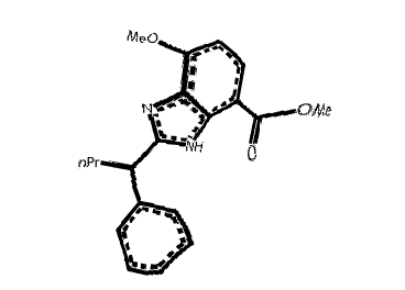 CCCC(c1ccccc1)c1nc2c(OC)ccc(C(=O)OC)c2[nH]1